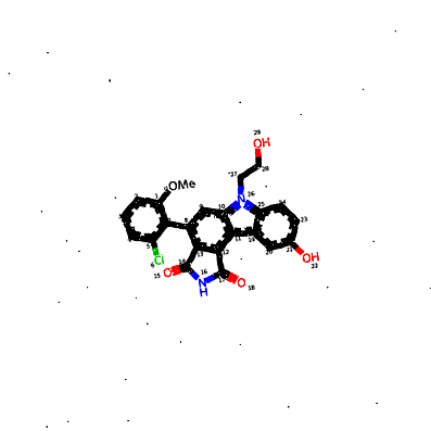 COc1cccc(Cl)c1-c1cc2c(c3c1C(=O)NC3=O)c1cc(O)ccc1n2CCO